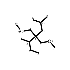 CCC(C)C(COC)(COC)CC(C)C